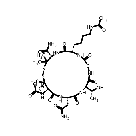 CC(=O)NCCCC[C@@H]1NC(=O)CNC(=O)[C@H]([C@@H](C)O)NC(=O)[C@H](CC(N)=O)NC(=O)[C@@H](NC(C)=O)C(C)(C)SSC(C)(C)[C@@H](C(N)=O)NC1=O